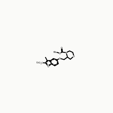 CCOC(=O)c1oc2ccc(OCC3COCCN3C(=O)OC(C)(C)C)cc2c1C